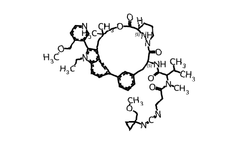 CCn1c(-c2cnccc2COC)c2c3cc(ccc31)-c1cccc(c1)C[C@H](NC(=O)C(C(C)C)N(C)C(=O)CCN=C=NC1(COC)CC1)C(=O)N1CCC[C@H](N1)C(=O)OCC(C)(C)C2